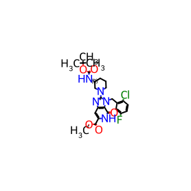 COC(=O)c1cc2nc(N3CCC[C@@H](NC(=O)OC(C)(C)C)C3)n(Cc3cc(F)ccc3Cl)c2c(=O)[nH]1